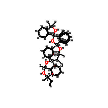 C=C[Si](C)(C)O[Si](C)(O[Si](C)(C)C(C)[Si](C)(C)O[Si](O[Si](O[Si](C)(C)C)(c1ccccc1)c1ccccc1)(c1ccccc1)c1ccccc1)c1ccccc1